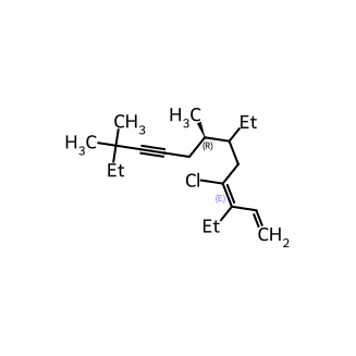 C=C/C(CC)=C(/Cl)CC(CC)[C@H](C)CC#CC(C)(C)CC